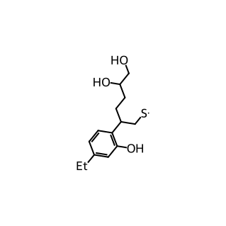 CCc1ccc(C(C[S])CCC(O)CO)c(O)c1